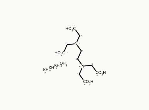 O.O=C(O)CN(CCN(CC(=O)O)CC(=O)O)CC(=O)O.[KH].[KH].[KH]